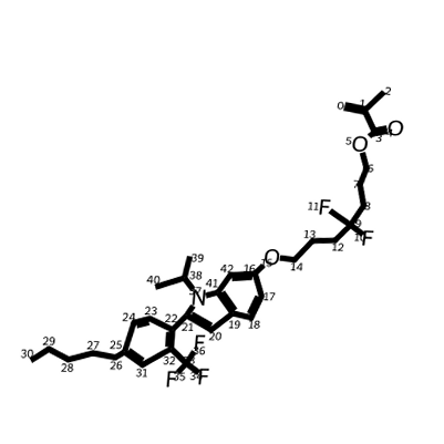 C=C(C)C(=O)OCCCC(F)(F)CCCOc1ccc2cc(-c3ccc(CCCCC)cc3C(F)(F)F)n(C(C)C)c2c1